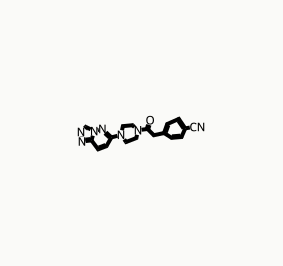 N#Cc1ccc(CC(=O)N2CCN(c3ccc4nncn4n3)CC2)cc1